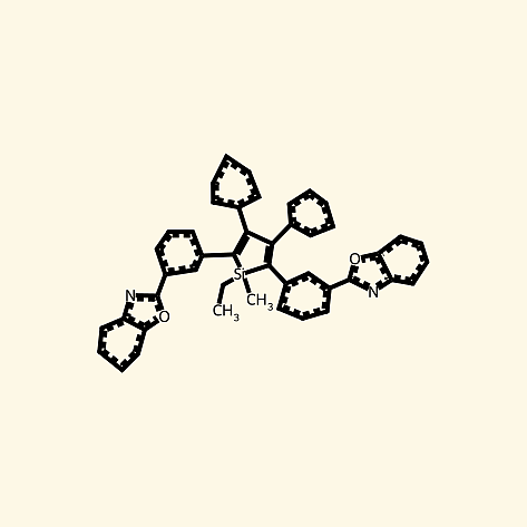 CC[Si]1(C)C(c2cccc(-c3nc4ccccc4o3)c2)=C(c2ccccc2)C(c2ccccc2)=C1c1cccc(-c2nc3ccccc3o2)c1